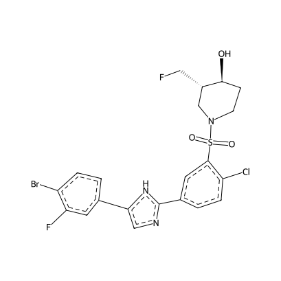 O=S(=O)(c1cc(-c2ncc(-c3ccc(Br)c(F)c3)[nH]2)ccc1Cl)N1CC[C@H](O)[C@@H](CF)C1